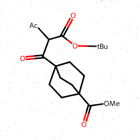 COC(=O)C12CCC(C(=O)C(C(C)=O)C(=O)OC(C)(C)C)(CC1)CC2